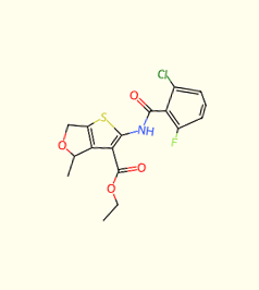 CCOC(=O)c1c(NC(=O)c2c(F)cccc2Cl)sc2c1C(C)OC2